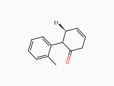 CC[C@H]1C=CCC(=O)C1c1ccccc1C